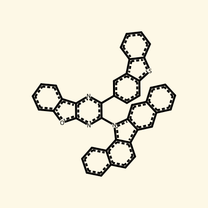 c1ccc2cc3c(cc2c1)c1ccc2ccccc2c1n3-c1nc2oc3ccccc3c2nc1-c1ccc2sc3ccccc3c2c1